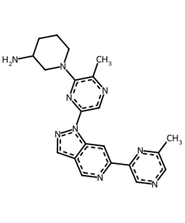 Cc1cncc(-c2cc3c(cn2)cnn3-c2cnc(C)c(N3CCCC(N)C3)n2)n1